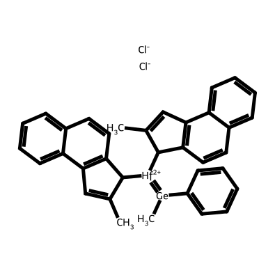 CC1=Cc2c(ccc3ccccc23)[CH]1[Hf+2]([CH]1C(C)=Cc2c1ccc1ccccc21)=[Ge]([CH3])[c]1ccccc1.[Cl-].[Cl-]